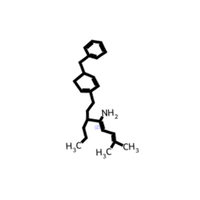 CCCC(CCC1=CCC(Cc2ccccc2)C=C1)/C(N)=C/C=C(C)C